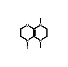 CN1CCN(C)C2=C1OCCN2I